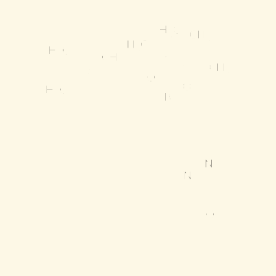 CC1(C)OB(c2c(C#C[Si](C)(C)C)ccc3c2cnn3C2CCCCO2)OC1(C)C